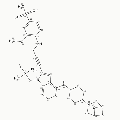 BC(C)(F)Cn1c(C#CCNc2ccc(S(C)(=O)=O)cc2OC)cc2c1=CCCC=2NC1CCC(N2CC3CC(C2)O3)CC1